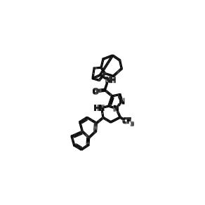 O=C(NC1C2CCCC3CC1CC3C2)c1cnn2c1NC(c1ccc3ccccc3c1)CC2C(F)(F)F